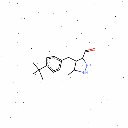 CC1NNC(C=O)C1Cc1ccc(C(C)(C)C)cc1